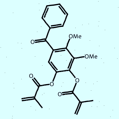 C=C(C)C(=O)Oc1cc(C(=O)c2ccccc2)c(OC)c(OC)c1OC(=O)C(=C)C